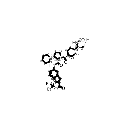 CCC1(CC)OC(=O)c2cc3cc(NC(=O)[C@@H]4[C@H](N5CCCCC5)CCN4C(=O)[C@H]4CC[C@H]([C@@H](CF)NC(=O)O)CC4)ccc3n21